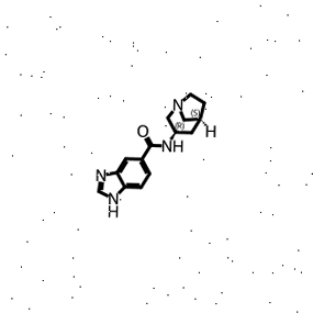 O=C(N[C@@H]1C[C@@H]2CCN(C2)C1)c1ccc2[nH]cnc2c1